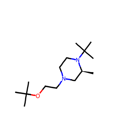 C[C@H]1CN(CCOC(C)(C)C)CCN1C(C)(C)C